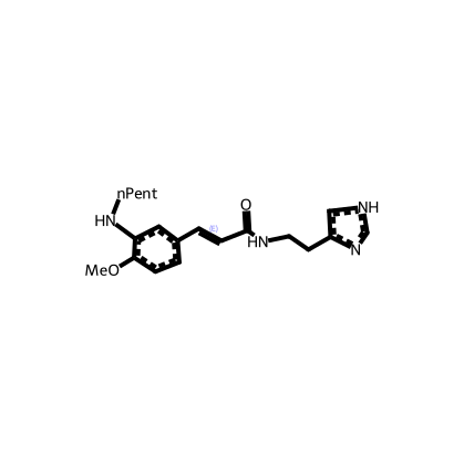 CCCCCNc1cc(/C=C/C(=O)NCCc2c[nH]cn2)ccc1OC